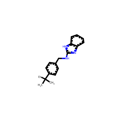 CCC(C)(C)c1ccc(CNc2nc3ccccc3[nH]2)cc1